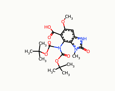 COc1cc2[nH]c(=O)n(C)c2c(N(C(=O)OC(C)(C)C)C(=O)OC(C)(C)C)c1C(=O)O